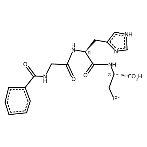 CC(C)C[C@H](NC(=O)[C@H](Cc1c[nH]cn1)NC(=O)CNC(=O)c1ccccc1)C(=O)O